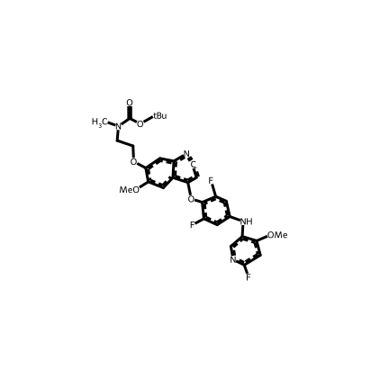 COc1cc(F)ncc1Nc1cc(F)c(Oc2ccnc3cc(OCCN(C)C(=O)OC(C)(C)C)c(OC)cc23)c(F)c1